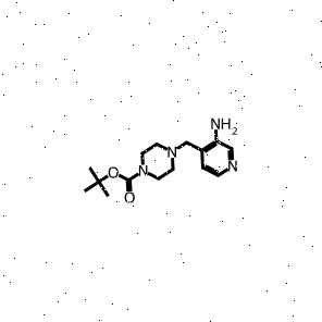 CC(C)(C)OC(=O)N1CCN(Cc2ccncc2N)CC1